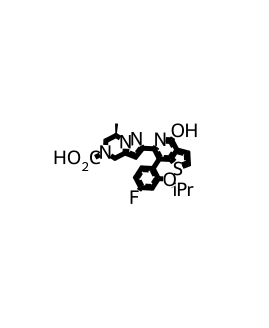 CC(C)Oc1cc(F)ccc1-c1c(-c2cc3n(n2)[C@H](C)CN(C(=O)O)C3)nc(O)c2ccsc12